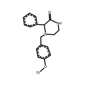 CCOc1ccc(CN2CCNC(=O)C2c2ccccc2)cc1